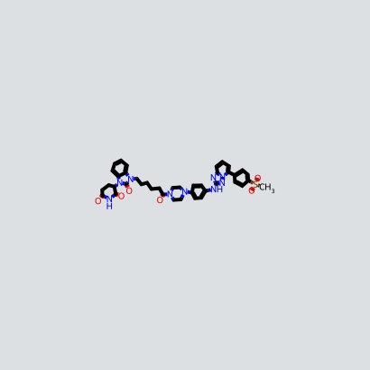 CS(=O)(=O)c1ccc(-c2cccc3nc(Nc4ccc(N5CCN(C(=O)CCCCCn6c(=O)n(C7CCC(=O)NC7=O)c7ccccc76)CC5)cc4)nn23)cc1